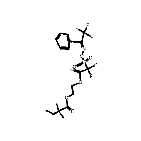 CCC(C)(C)C(=O)OCCOC(=O)C(F)(F)S(=O)(=O)O/N=C(\c1ccccc1)C(F)(F)F